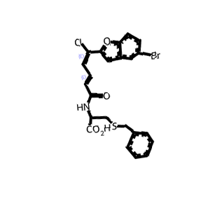 O=C(/C=C/C=C(/Cl)c1cc2cc(Br)ccc2o1)NC(CSCc1ccccc1)C(=O)O